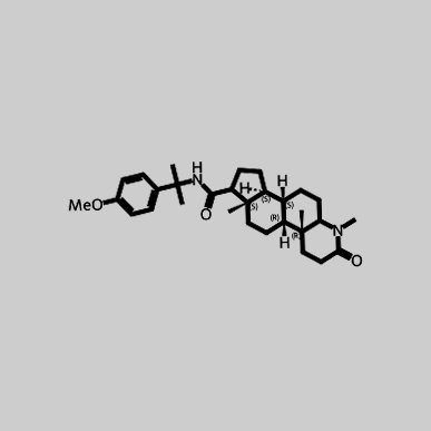 COc1ccc(C(C)(C)NC(=O)C2CC[C@H]3[C@@H]4CCC5N(C)C(=O)CC[C@]5(C)[C@@H]4CC[C@]23C)cc1